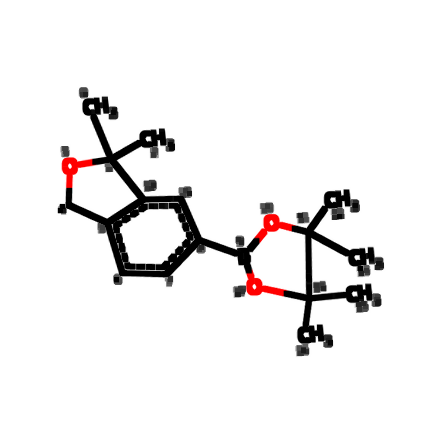 CC1(C)OCc2ccc(B3OC(C)(C)C(C)(C)O3)cc21